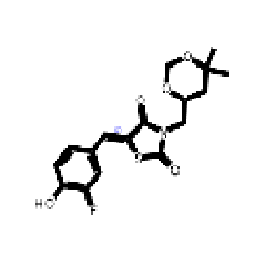 CC1(C)CC(CN2C(=O)S/C(=C\c3ccc(O)c(F)c3)C2=O)OCO1